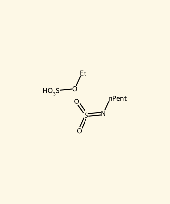 CCCCCN=S(=O)=O.CCOS(=O)(=O)O